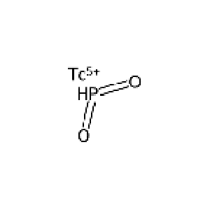 O=[PH]=O.[Tc+5]